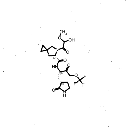 COC(O)C(=O)N1CC2(CC2)C[C@H]1C(=O)N[C@@H](C[C@@H]1CCNC1=O)C(=O)COC(F)(F)F